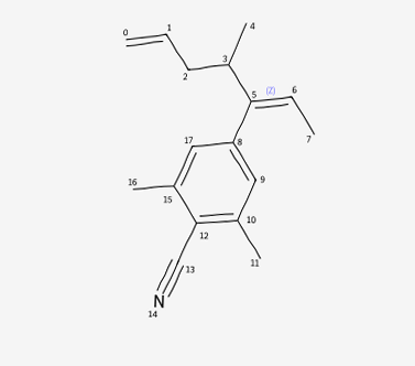 C=CCC(C)/C(=C/C)c1cc(C)c(C#N)c(C)c1